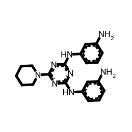 Nc1cccc(Nc2nc(Nc3cccc(N)c3)nc(N3CCCCC3)n2)c1